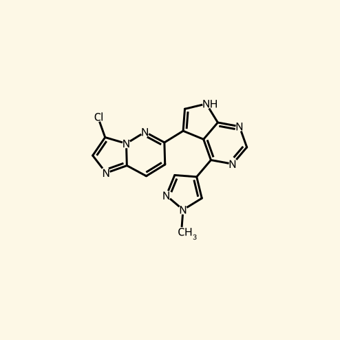 Cn1cc(-c2ncnc3[nH]cc(-c4ccc5ncc(Cl)n5n4)c23)cn1